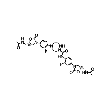 CC(=O)NC[C@H]1CN(c2ccc(NC(=O)N3CCN(c4ccc(N5C[C@H](CNC(C)=O)OC5=O)cc4F)CCN3)c(F)c2)C(=O)O1